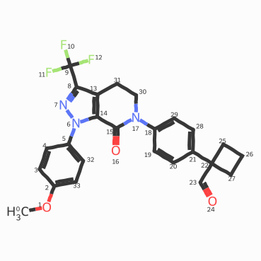 COc1ccc(-n2nc(C(F)(F)F)c3c2C(=O)N(c2ccc(C4(C=O)CCC4)cc2)CC3)cc1